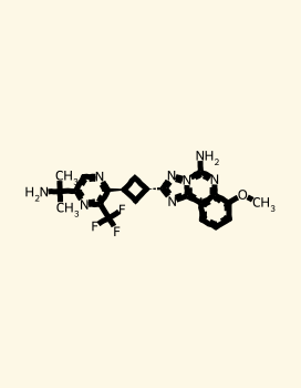 COc1cccc2c1nc(N)n1nc([C@H]3C[C@H](c4ncc(C(C)(C)N)nc4C(F)(F)F)C3)nc21